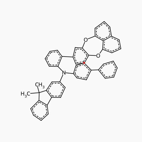 CC1(C)c2ccccc2-c2ccc(N(c3ccc(-c4ccccc4)cc3)c3ccccc3-c3ccc4c(c3)Oc3cccc5cccc(c35)O4)cc21